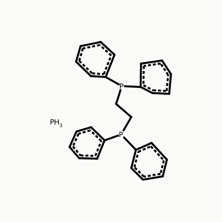 P.c1ccc(P(CCP(c2ccccc2)c2ccccc2)c2ccccc2)cc1